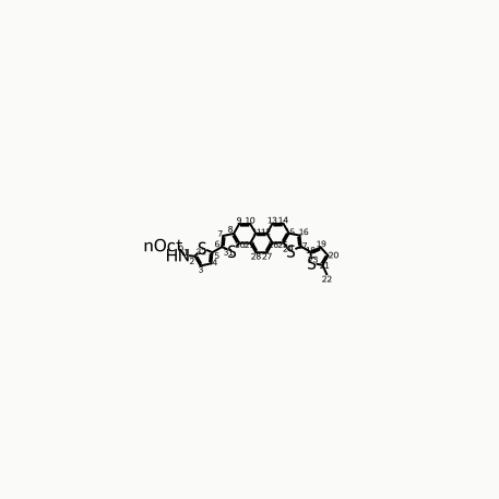 CCCCCCCCNc1ccc(-c2cc3ccc4c5ccc6cc(-c7ccc(C)s7)sc6c5ccc4c3s2)s1